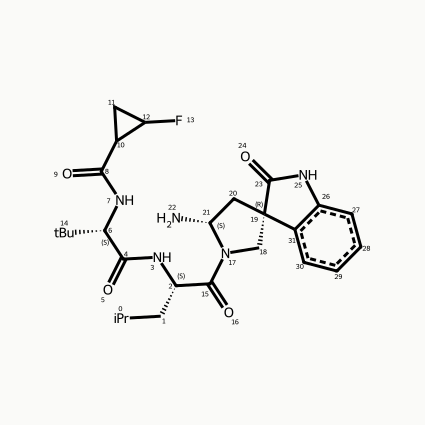 CC(C)C[C@H](NC(=O)[C@@H](NC(=O)C1CC1F)C(C)(C)C)C(=O)N1C[C@]2(C[C@H]1N)C(=O)Nc1ccccc12